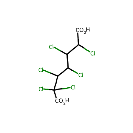 O=C(O)C(Cl)C(Cl)C(Cl)C(Cl)C(Cl)(Cl)C(=O)O